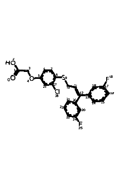 O=C(O)COc1ccc(SCC=C(c2cccc(F)c2)c2cccc(F)c2)c(Cl)c1